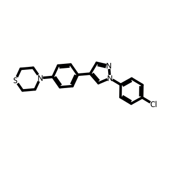 Clc1ccc(-n2cc(-c3ccc(N4CCSCC4)cc3)cn2)cc1